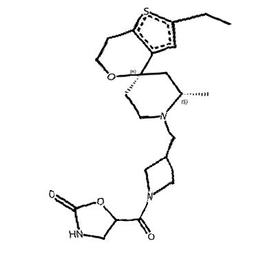 CCc1cc2c(s1)CCO[C@@]21CCN(CC2CN(C(=O)C3CNC(=O)O3)C2)[C@@H](C)C1